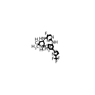 CC1(C)CC(Nc2nc(Nc3cccc(-n4ccc(C(F)(F)F)n4)c3)ncc2F)CC(C)(C)N1